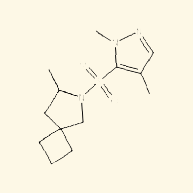 Cc1cnn(C)c1S(=O)(=O)N1CC2(CCC2)CC1C